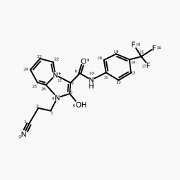 N#CCCn1c(O)c(C(=O)Nc2ccc(C(F)(F)F)cc2)[n+]2ccccc12